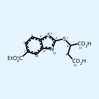 CCOC(=O)c1ccc2sc(SC(CC(=O)O)C(=O)O)nc2c1